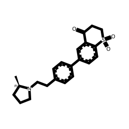 C[C@@H]1CCCN1CCc1ccc(-c2ccc3c(c2)C(=O)CCS3(=O)=O)cc1